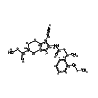 CCOc1ccccc1C(C)CC(=O)Nc1sc2c(c1C#N)CCN(C(=O)CO)C2